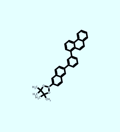 CC1(C)OB(c2ccc3cc(-c4cccc(-c5cccc6c5ccc5ccccc56)c4)ccc3c2)OC1(C)C